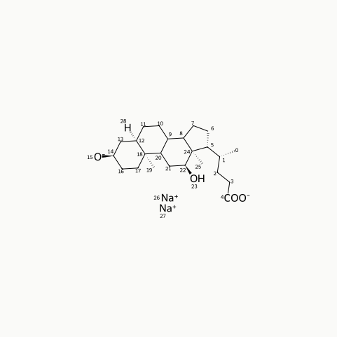 C[C@H](CCC(=O)[O-])[C@H]1CCC2C3CC[C@@H]4C[C@H]([O-])CC[C@]4(C)C3C[C@H](O)[C@@]21C.[Na+].[Na+]